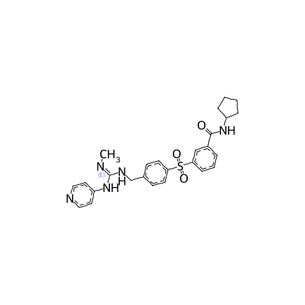 C/N=C(\NCc1ccc(S(=O)(=O)c2cccc(C(=O)NC3CCCC3)c2)cc1)Nc1ccncc1